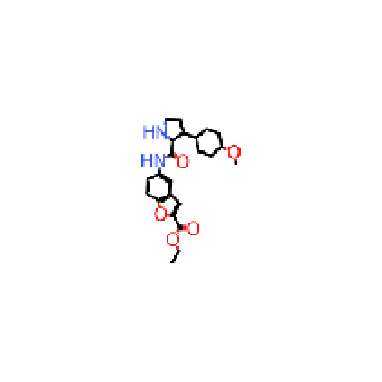 CCOC(=O)c1cc2cc(NC(=O)[C@H]3NCCC3C3CCC(OC)CC3)ccc2o1